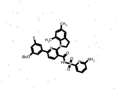 Cc1cc(C)c2c(c1)CCN2c1nc(-c2cc(F)cc(OCC(C)C)c2)ccc1C(=O)NS(=O)(=O)c1cccc(N)n1